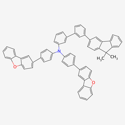 CC1(C)c2ccccc2-c2cc(-c3cccc(-c4cccc(N(c5ccc(-c6ccc7oc8ccccc8c7c6)cc5)c5ccc(-c6ccc7oc8ccccc8c7c6)cc5)c4)c3)ccc21